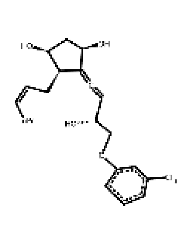 CCC/C=C\C[C@@H]1C(=C=C[C@@H](O)COc2cccc(C(F)(F)F)c2)[C@H](O)C[C@@H]1O